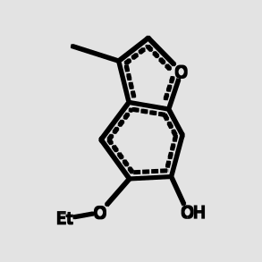 CCOc1cc2c(C)coc2cc1O